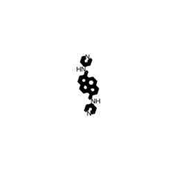 c1cc(NCc2ccc3ccc4c(CNc5ccncc5)ccc5c4c3c2CC5)ccn1